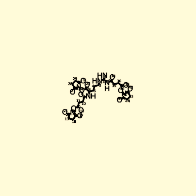 N=C(NCCCC(NC(=O)CCC(=O)ON1C(=O)CCC1=O)C(=O)ON1C(=O)CCC1=O)NC(=O)CCC(=O)ON1C(=O)CCC1=O